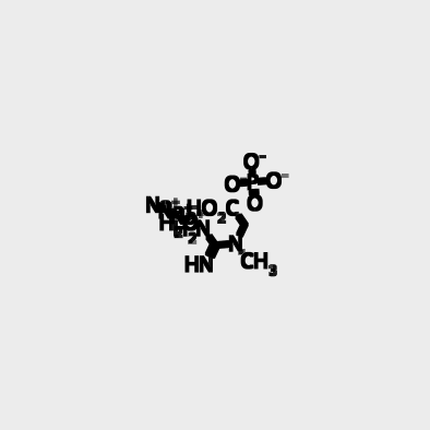 CN(CC(=O)O)C(=N)N.O.O=P([O-])([O-])[O-].[Na+].[Na+].[Na+]